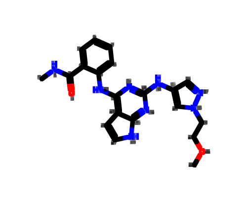 CNC(=O)c1ccccc1Nc1nc(Nc2cnn(CCOC)c2)nc2[nH]ccc12